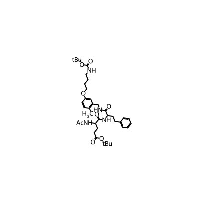 CC(=O)NC(CCC(=O)OC(C)(C)C)C(=O)NC(CCc1ccccc1)C(=O)NCc1cc(OCCCCNC(=O)OC(C)(C)C)ccc1C